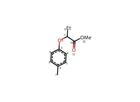 CCC(Oc1ccc(C)cc1)C(=O)OC